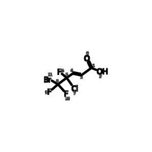 O=C(O)/C=C/C(F)(Cl)C(F)(F)Br